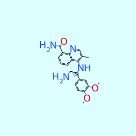 COc1ccc([C@@H](CN)Nc2c(C)cnc3c(C(N)=O)cccc23)cc1OC